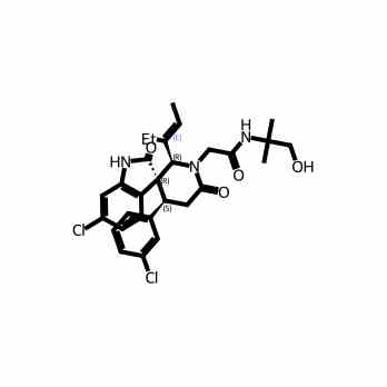 C/C=C(\CC)[C@H]1N(CC(=O)NC(C)(C)CO)C(=O)C[C@@H](c2cccc(Cl)c2)[C@]12C(=O)Nc1cc(Cl)ccc12